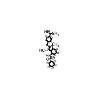 Cl.Cn1c(Cc2ccc(C(=N)N)cc2)nc2c(NS(=O)(=O)c3ccccc3)cccc21